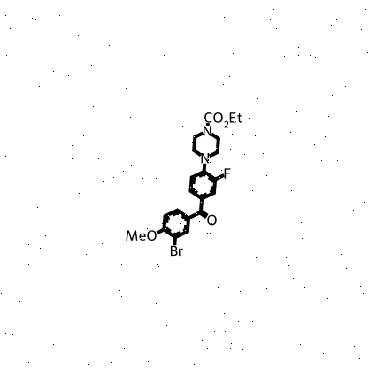 CCOC(=O)N1CCN(c2ccc(C(=O)c3ccc(OC)c(Br)c3)cc2F)CC1